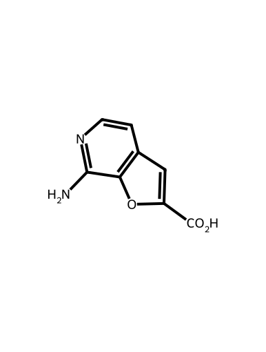 Nc1nccc2cc(C(=O)O)oc12